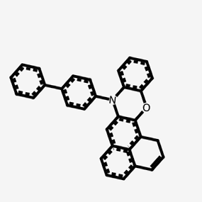 C1=Cc2cccc3cc4c(c(c23)C1)Oc1ccccc1N4c1ccc(-c2ccccc2)cc1